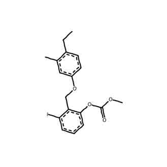 CCc1ccc(OCc2c(I)cccc2OC(=O)OC)cc1C